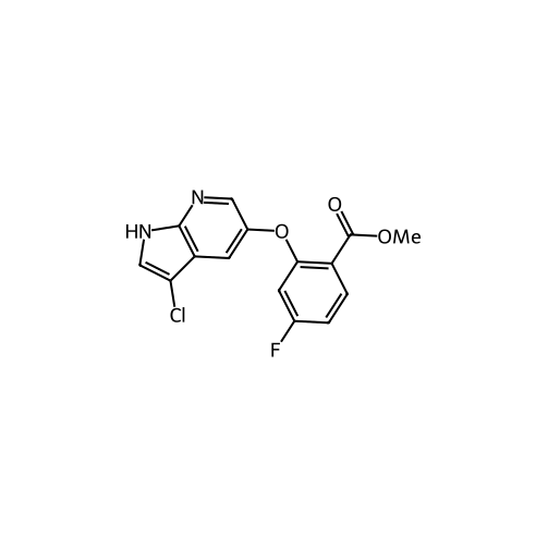 COC(=O)c1ccc(F)cc1Oc1cnc2[nH]cc(Cl)c2c1